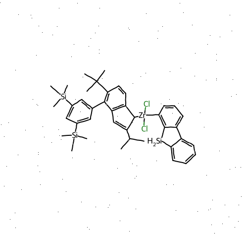 CC(C)C1=Cc2c(ccc(C(C)(C)C)c2-c2cc([Si](C)(C)C)cc([Si](C)(C)C)c2)[CH]1[Zr]([Cl])([Cl])[c]1cccc2c1[SiH2]c1ccccc1-2